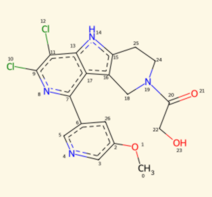 COc1cncc(-c2nc(Cl)c(Cl)c3[nH]c4c(c23)CN(C(=O)CO)CC4)c1